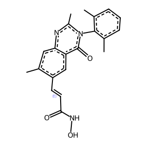 Cc1cc2nc(C)n(-c3c(C)cccc3C)c(=O)c2cc1/C=C/C(=O)NO